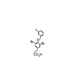 O=C(O)CCc1cc(Br)c(OCc2cccc(I)c2)c(Br)c1